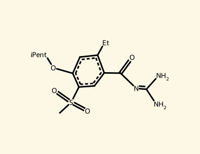 CCCC(C)Oc1cc(CC)c(C(=O)N=C(N)N)cc1S(C)(=O)=O